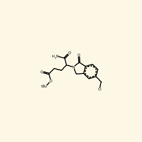 CC(C)(C)OC(=O)CCC(C(N)=O)N1Cc2cc(CCl)ccc2C1=O